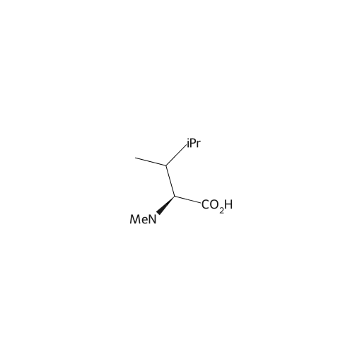 CN[C@H](C(=O)O)C(C)C(C)C